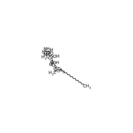 CCCCCCCCCCCCCCCCCCOC[C@H](COP(=O)(O)OC[C@H]1O[C@@](C)(c2ccc3c(N)ncnn23)[C@H](O)[C@@H]1O)OC(C)C